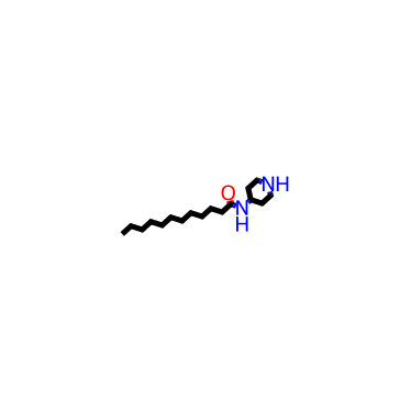 CCCCCCCCCCCC(=O)NC1CCNCC1